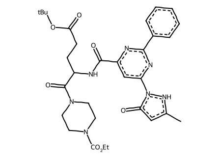 CCOC(=O)N1CCN(C(=O)C(CCC(=O)OC(C)(C)C)NC(=O)c2cc(-n3[nH]c(C)cc3=O)nc(-c3ccccc3)n2)CC1